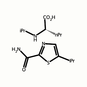 CC(C)c1cnc(C(N)=O)s1.CCC[C@H](NC(C)C)C(=O)O